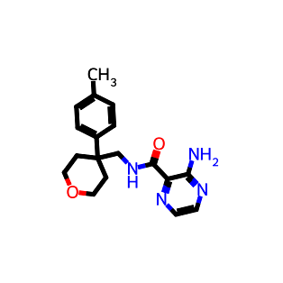 Cc1ccc(C2(CNC(=O)c3nccnc3N)CCOCC2)cc1